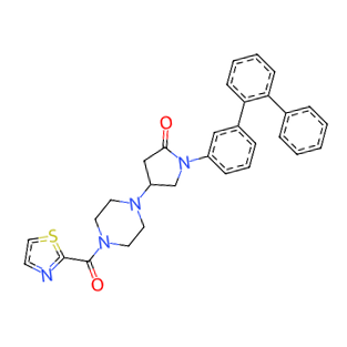 O=C(c1nccs1)N1CCN(C2CC(=O)N(c3cccc(-c4ccccc4-c4ccccc4)c3)C2)CC1